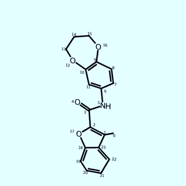 Cc1c(C(=O)Nc2ccc3c(c2)OCCCO3)oc2ccccc12